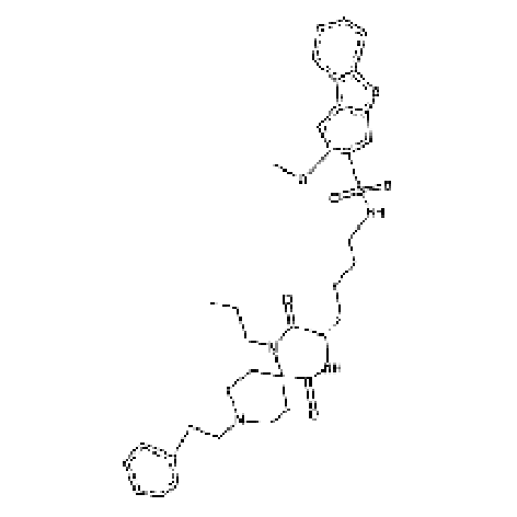 CCCN1C(=O)[C@H](CCCCNS(=O)(=O)c2cc3oc4ccccc4c3cc2OC)NC(=O)C12CCN(CCc1ccccc1)CC2